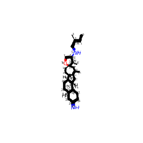 CC[C@H](C)CN[C@@H]1CO[C@]2(CC[C@@H]3C(=C(C)C2)C[C@H]2[C@H]3CC[C@@H]3CC(=N)CC[C@@]32C)[C@@H]1C